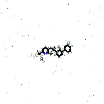 CC(C)(C)c1ccc(CC(C)(C)c2cccc(-c3cccc(Cl)c3)c2F)c(F)n1